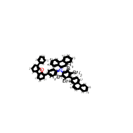 Bc1c(B)c(N(c2ccc(-c3cccc4c3oc3c(-c5ccccc5)cccc34)cc2)c2cc3ccccc3c3ccccc23)c(B)c(B)c1-c1ccc2c(ccc3ccccc32)c1